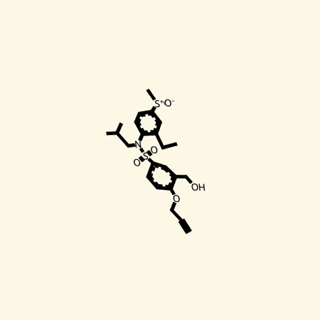 C#CCOc1ccc(S(=O)(=O)N(CC(C)C)c2ccc([S+](C)[O-])cc2CC)cc1CO